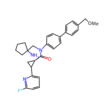 COCc1ccc(-c2ccc(N(CC3(N)CCCC3)C(=O)C3CC3c3cccc(F)n3)cc2)cc1